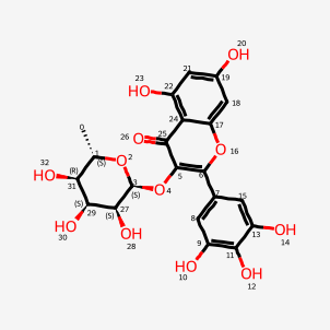 C[C@@H]1O[C@@H](Oc2c(-c3cc(O)c(O)c(O)c3)oc3cc(O)cc(O)c3c2=O)[C@@H](O)[C@@H](O)[C@H]1O